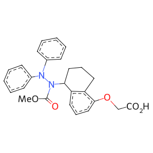 COC(=O)N(C1CCCc2c(OCC(=O)O)cccc21)N(c1ccccc1)c1ccccc1